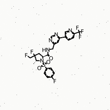 C[C@H]1N(S(=O)(=O)c2ccc(F)cc2)[C@H](C(=O)NCc2cc(-c3ccc(C(F)(F)F)nc3)ncn2)CC1(F)CF